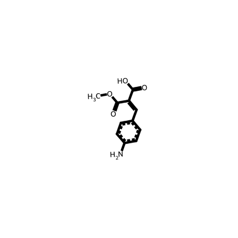 COC(=O)/C(=C\c1ccc(N)cc1)C(=O)O